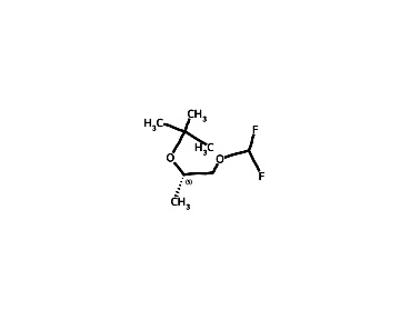 C[C@@H](COC(F)F)OC(C)(C)C